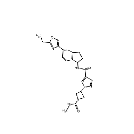 CCc1nc(-c2ccc3c(c2)CCC3NC(=O)c2cnn(C3CN(C(=O)NC)C3)c2)no1